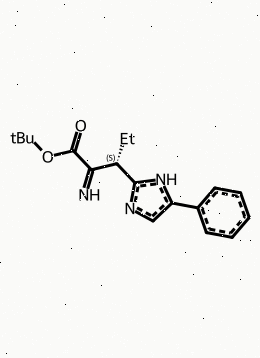 CC[C@@H](C(=N)C(=O)OC(C)(C)C)c1ncc(-c2ccccc2)[nH]1